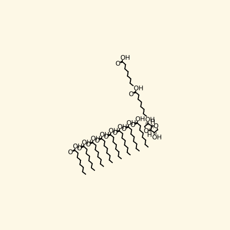 CCCCCCCC(=O)O.CCCCCCCC(=O)O.CCCCCCCC(=O)O.CCCCCCCC(=O)O.CCCCCCCC(=O)O.CCCCCCCC(=O)O.CCCCCCCC(=O)O.CCCCCCCC(=O)O.CCCCCCCC(=O)O.CCCCCCCC(=O)O.O[C@@H]1CO[C@H]2[C@@H]1OC[C@@H]2O